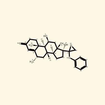 C[C@H]1C[C@@H]2[C@H]([C@@H](O)C[C@@]3(C)[C@H]2CC[C@]3(O)C2(Oc3ccccc3)CO2)[C@@]2(C)CCC(=O)C=C12